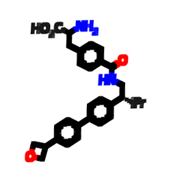 CC(C)[C@@H](CNC(=O)c1ccc(C[C@H](N)C(=O)O)cc1)c1ccc(-c2ccc(C3COC3)cc2)cc1